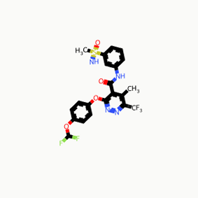 Cc1c(C(F)(F)F)nnc(Oc2ccc(OC(F)F)cc2)c1C(=O)Nc1cccc(S(C)(=N)=O)c1